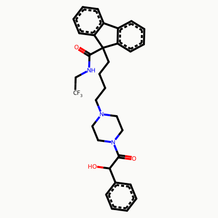 O=C(C(O)c1ccccc1)N1CCN(CCCCC2(C(=O)NCC(F)(F)F)c3ccccc3-c3ccccc32)CC1